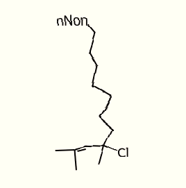 CCCCCCCCCCCCCCCCC(C)(Cl)C=C(C)C